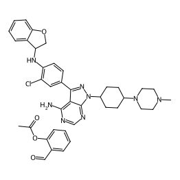 CC(=O)Oc1ccccc1C=O.CN1CCN(C2CCC(n3nc(-c4ccc(NC5COc6ccccc65)c(Cl)c4)c4c(N)ncnc43)CC2)CC1